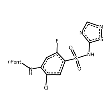 CCCCCNc1cc(F)c(S(=O)(=O)Nc2ncns2)cc1Cl